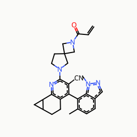 C=CC(=O)N1CC2(CCN(c3nc4c(c(-c5c(C)ccc6cnn(C)c56)c3C#N)CCC3CC43)C2)C1